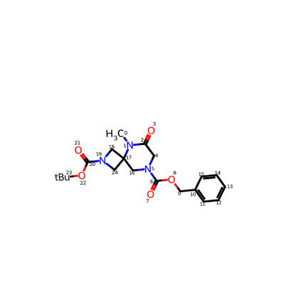 CN1C(=O)CN(C(=O)OCc2ccccc2)CC12CN(C(=O)OC(C)(C)C)C2